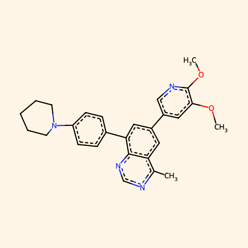 COc1cc(-c2cc(-c3ccc(N4CCCCC4)cc3)c3ncnc(C)c3c2)cnc1OC